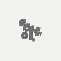 CCC[S+]([O-])c1sc2nc(-c3nccs3)nc(-c3ccccc3)c2c1N